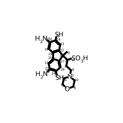 CC1(C(CCN2CCOCC2)S(=O)(=O)O)c2cc(S)c(N)cc2-c2cc(N)c(S)cc21